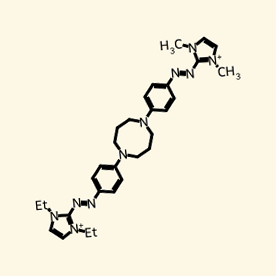 CCn1cc[n+](CC)c1/N=N/c1ccc(N2CCCN(c3ccc(/N=N/c4n(C)cc[n+]4C)cc3)CCC2)cc1